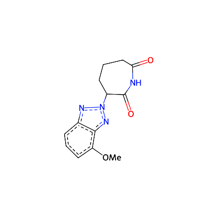 COc1cccc2nn(C3CCCC(=O)NC3=O)nc12